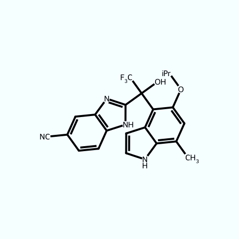 Cc1cc(OC(C)C)c(C(O)(c2nc3cc(C#N)ccc3[nH]2)C(F)(F)F)c2cc[nH]c12